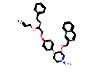 C=CCO[C@@H](CCc1ccccc1)COc1ccc([C@H]2CCN(C(=O)O)C[C@@H]2OCc2ccc3ccccc3c2)cc1